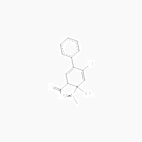 COC(=O)C1C=C(c2ccccc2)C(Cl)=CC1(N)N(C)C